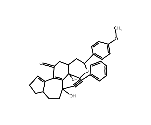 COc1ccc(C2CC3CC(=O)C4=C(C(O)(C#Cc5ccccc5)CCC5CCC=C45)C3(C)CO2)cc1